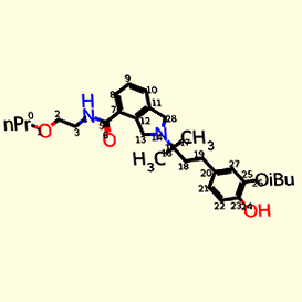 CCCOCCNC(=O)c1cccc2c1CN(C(C)(C)CCc1ccc(O)c(OCC(C)C)c1)C2